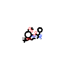 CC1=CCC23C(O)C(CC/C=C4/COC(C)(C)OC4CC2(COC(=O)c2c(C4C=CC=CCC4)nn(C)c2C)N1)[C@H]1C(C[C@H]3C)C1(C)C